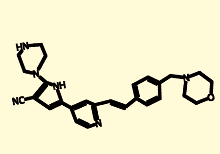 N#Cc1cc(-c2ccnc(/C=C/c3ccc(CN4CCOCC4)cc3)c2)[nH]c1N1CCNCC1